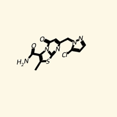 Cc1sc2nc(Cn3nccc3Cl)cc(=O)n2c1C(N)=O